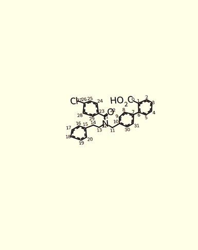 O=C(O)c1ccccc1-c1ccc(CN(CCc2ccccc2)C(=O)c2ccc(Cl)cc2)cc1